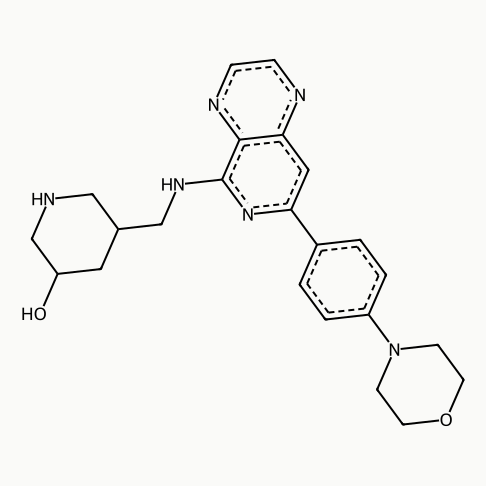 OC1CNCC(CNc2nc(-c3ccc(N4CCOCC4)cc3)cc3nccnc23)C1